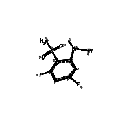 CC(C)N(C)c1cc(F)cc(F)c1S(N)(=O)=O